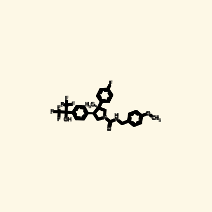 COc1ccc(CNC(=O)N2C[C@@H](c3ccc(C(O)(C(F)(F)F)C(F)(F)F)cc3)[C@@](C)(c3ccc(F)cc3)C2)cc1